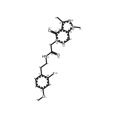 COc1ccc(CCNC(=O)Cn2ncc3c(c(C)nn3C)c2=O)c(F)c1